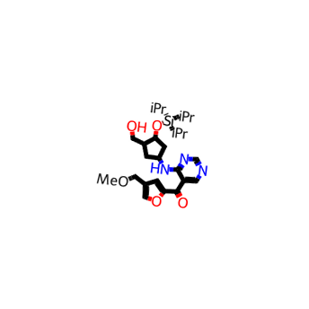 COCc1coc(C(=O)c2cncnc2NC2CC(CO)C(O[Si](C(C)C)(C(C)C)C(C)C)C2)c1